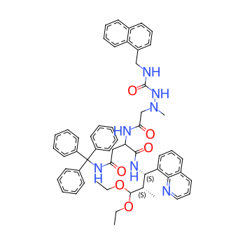 CCOC(OCC)[C@@H](C)[C@H](NC(=O)C(CC(=O)NC(c1ccccc1)(c1ccccc1)c1ccccc1)NC(=O)CN(C)NC(=O)NCc1cccc2ccccc12)c1cccc2cccnc12